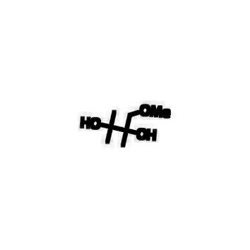 COCC(C)(O)C(C)(C)O